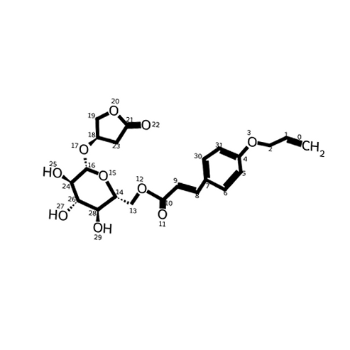 C=CCOc1ccc(/C=C/C(=O)OC[C@H]2O[C@@H](O[C@H]3COC(=O)C3)[C@H](O)[C@@H](O)[C@@H]2O)cc1